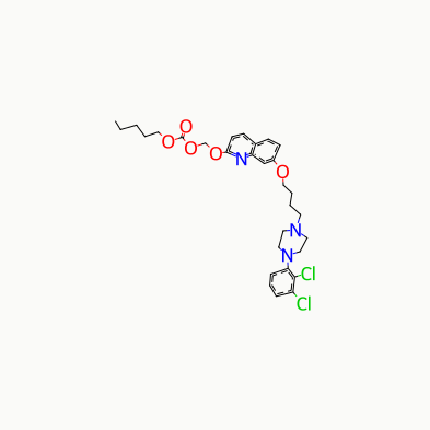 CCCCCOC(=O)OCOc1ccc2ccc(OCCCCN3CCN(c4cccc(Cl)c4Cl)CC3)cc2n1